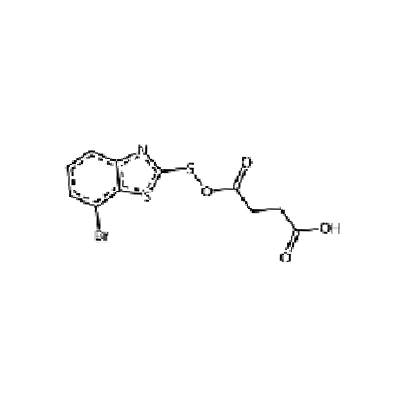 O=C(O)CCC(=O)OSc1nc2cccc(Br)c2s1